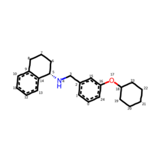 c1cc(CN[C@H]2CCCc3ccccc32)cc(OC2CCCCC2)c1